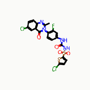 Cc1nc2ccc(Cl)cc2c(=O)n1-c1ccc(NC(=O)NS(=O)(=O)c2ccc(Cl)s2)cc1F